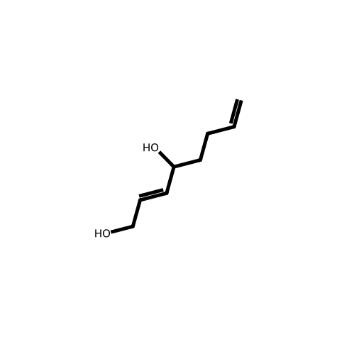 C=CCCC(O)C=CCO